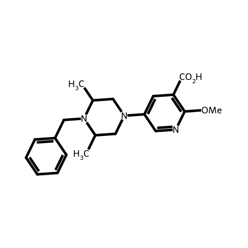 COc1ncc(N2CC(C)N(Cc3ccccc3)C(C)C2)cc1C(=O)O